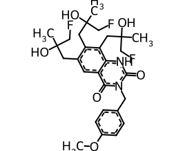 COc1ccc(Cn2c(=O)[nH]c3c(CC(C)(O)CF)c(CC(C)(O)CF)c(CC(C)(O)CF)cc3c2=O)cc1